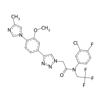 COc1cc(-c2cn(CC(=O)N(CC(F)(F)F)c3ccc(F)c(Cl)c3)nn2)ccc1-n1cnc(C)c1